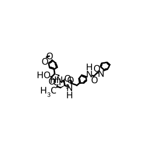 CC(C)C[C@H](NC(=O)Cc1ccc(NC(=O)c2nc3ccccc3o2)cc1)C(=O)NC[C@@H](C(=O)O)c1ccc2c(c1)OCO2